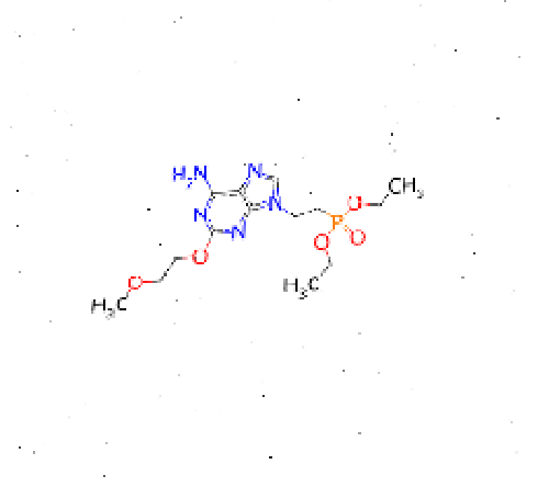 CCOP(=O)(CCn1cnc2c(N)nc(OCCOC)nc21)OCC